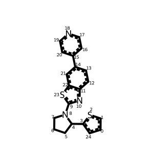 c1csc(C2CCCN2c2nc3ccc(-c4ccncc4)cc3s2)c1